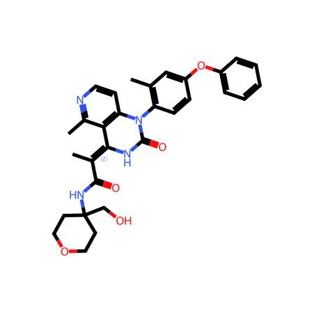 C/C(C(=O)NC1(CO)CCOCC1)=C1/NC(=O)N(c2ccc(Oc3ccccc3)cc2C)c2ccnc(C)c21